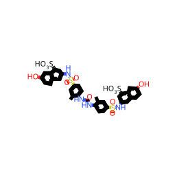 Cc1cc(S(=O)(=O)Nc2cc(S(=O)(=O)O)c3cc(O)ccc3c2)ccc1NC(=O)Nc1ccc(S(=O)(=O)Nc2cc(S(=O)(=O)O)c3cc(O)ccc3c2)cc1C